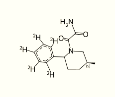 [2H]c1c([2H])c([2H])c(C2CC[C@H](C)CN2C(=O)C(N)=O)c([2H])c1[2H]